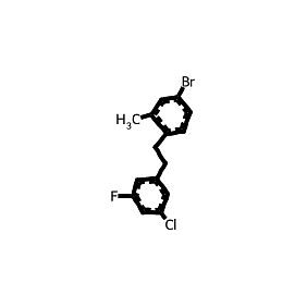 Cc1cc(Br)ccc1CCc1cc(F)cc(Cl)c1